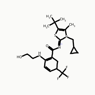 Cc1c(C(C)(C)C)s/c(=N\C(=O)C2=C(NCCO)C=CC(C(F)(F)F)C2)n1CC1CC1